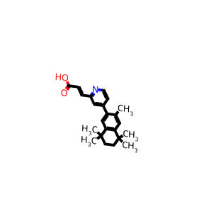 Cc1cc2c(cc1-c1ccnc(C=CC(=O)O)c1)C(C)(C)CCC2(C)C